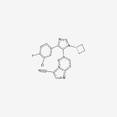 N#Cc1cnc2ccc(-c3c(-c4ccc(F)c(Cl)c4)ncn3C3CCC3)nn12